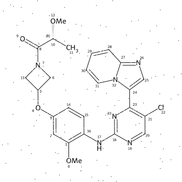 COc1cc(OC2CN(C(=O)[C@@H](C)OC)C2)ccc1Nc1ncc(Cl)c(-c2cnc3ccccn23)n1